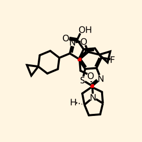 O=C(O)c1cc(F)c2nc(N3C4CC[C@H]3C[C@H](OCc3c(C5CCC6(CC5)CC6)noc3C3CC3)C4)sc2c1